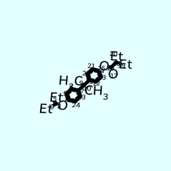 CCC(CC)Oc1ccc(C(C)(C)c2ccc(OC(=O)C(CC)CC)cc2)cc1